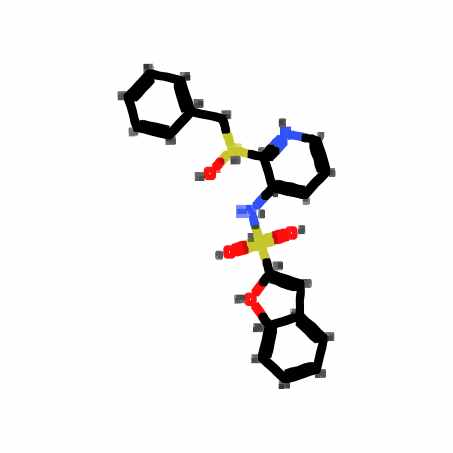 O=S(=O)(Nc1cccnc1[S+]([O-])Cc1ccccc1)c1cc2ccccc2o1